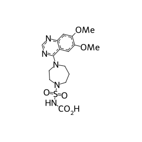 COc1cc2ncnc(N3CCCN(S(=O)(=O)NC(=O)O)CC3)c2cc1OC